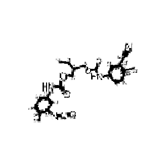 CCC(COC(=O)Nc1ccc(C)c(C#N)c1)COC(=O)Nc1ccc(C)c(N=C=O)c1